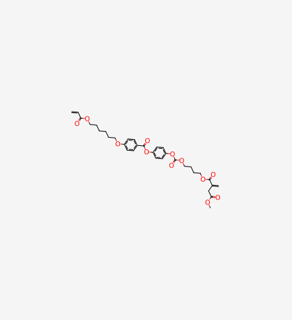 C=CC(=O)OCCCCCCOc1ccc(C(=O)Oc2ccc(OC(=O)OCCCCOC(=O)C(=C)CC(=O)OC)cc2)cc1